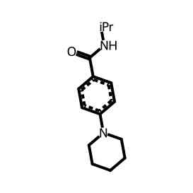 CC(C)NC(=O)c1ccc(N2CCCCC2)cc1